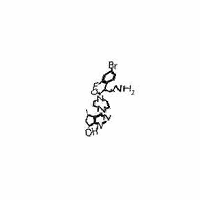 C[C@@H]1C[C@@H](O)c2ncnc(N3CCN(C(=O)C(CN)c4ccc(Br)cc4F)CC3)c21